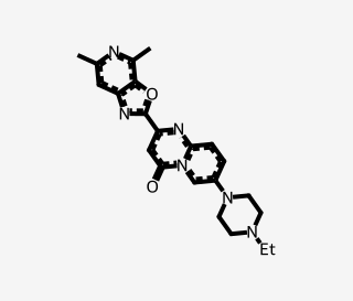 CCN1CCN(c2ccc3nc(-c4nc5cc(C)nc(C)c5o4)cc(=O)n3c2)CC1